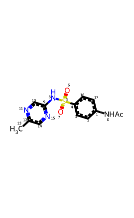 CC(=O)Nc1ccc(S(=O)(=O)Nc2cnc(C)cn2)cc1